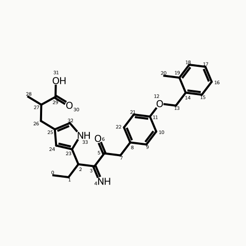 CCC(C(=N)C(=O)Cc1ccc(OCc2ccccc2C)cc1)c1cc(CC(C)C(=O)O)c[nH]1